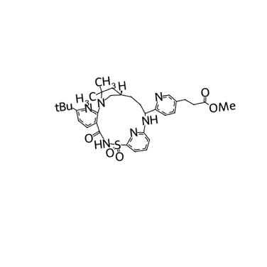 COC(=O)CCc1ccc(C2CC[C@@H]3CN(c4nc(C(C)(C)C)ccc4C(=O)NS(=O)(=O)c4cccc(n4)N2)C(C)(C)C3)nc1